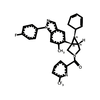 Cc1cc2c(cnn2-c2ccc(F)cc2)cc1[C@]12CN(C(=O)c3cccc(C(F)(F)F)n3)C[C@H]1[C@@H]2C1C=CC=CC1